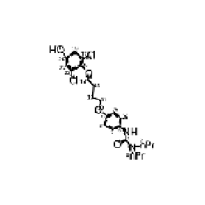 CCCN(CCC)C(=O)Nc1ccc(OCCCCOc2c(Cl)cc(O)cc2Cl)cc1